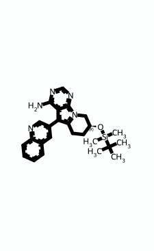 CC(C)(C)[Si](C)(C)O[C@@H]1CCc2c(-c3cnc4ccccc4c3)c3c(N)ncnc3n2C1